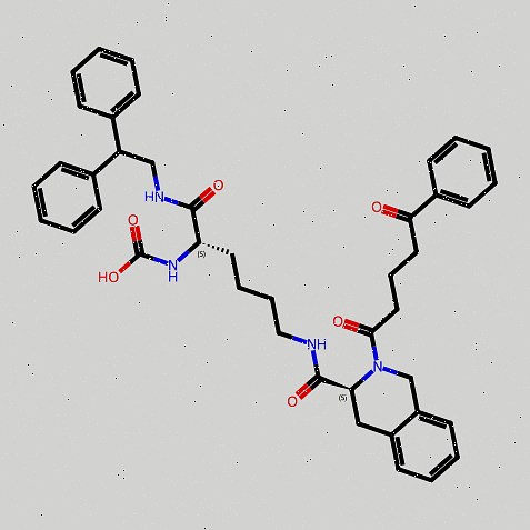 O=C(O)N[C@@H](CCCCNC(=O)[C@@H]1Cc2ccccc2CN1C(=O)CCCC(=O)c1ccccc1)C(=O)NCC(c1ccccc1)c1ccccc1